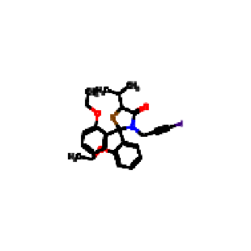 CCOc1ccccc1C1(c2ccccc2OCC)SC(C(C)C)C(=O)N1CC#CI